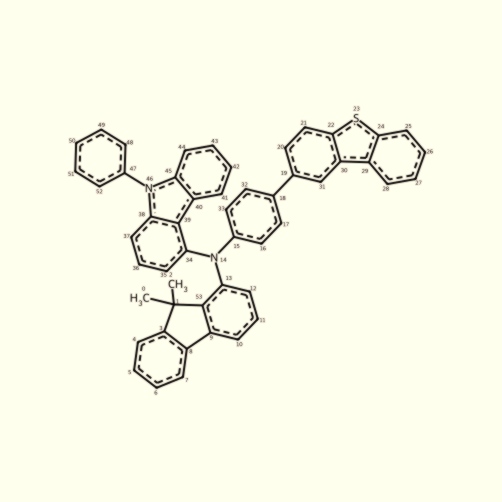 CC1(C)c2ccccc2-c2cccc(N(c3ccc(-c4ccc5sc6ccccc6c5c4)cc3)c3cccc4c3c3ccccc3n4-c3ccccc3)c21